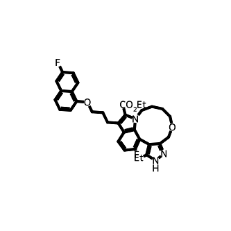 CCOC(=O)c1c(CCCOc2cccc3cc(F)ccc23)c2ccc(F)c3c2n1CCCCOCc1n[nH]c(CC)c1-3